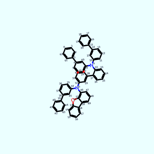 c1ccc(-c2cccc(N(c3cccc(-c4ccccc4)c3)c3ccccc3-c3cccc(N(c4cccc(-c5ccccc5)c4)c4cccc5c4oc4ccccc45)c3)c2)cc1